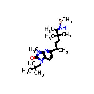 CSNC(C)C(C)(C)CCC(C)c1ccc2c(n1)n(C)c(=O)n2CC(C)(C)C